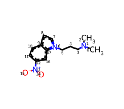 CN(C)CCCn1ccc2ccc([N+](=O)[O-])cc21